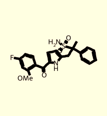 COc1cc(F)ccc1C(=O)c1ccc(CC(C)(c2ccccc2)S(N)(=O)=O)[nH]1